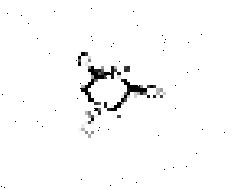 O=C1C[S+]([O-])CC(=O)[N]1